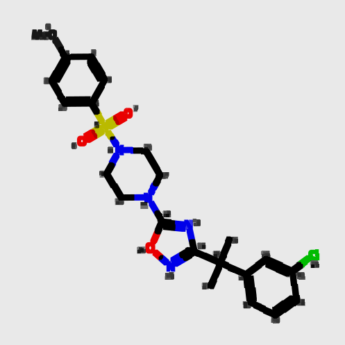 COc1ccc(S(=O)(=O)N2CCN(c3nc(C(C)(C)c4cccc(Cl)c4)no3)CC2)cc1